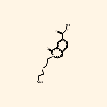 COCCOCCn1ccc2ccc(C(=O)NO)cc2c1=O